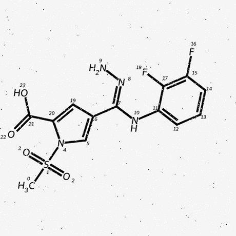 CS(=O)(=O)n1cc(C(=NN)Nc2cccc(F)c2F)cc1C(=O)O